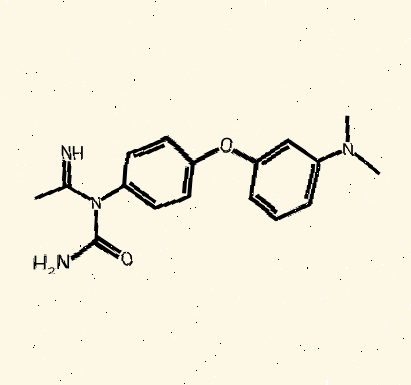 CC(=N)N(C(N)=O)c1ccc(Oc2cccc(N(C)C)c2)cc1